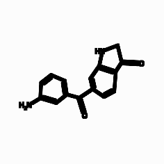 Nc1cccc(C(=O)c2ccc3c(c2)NCC3=O)c1